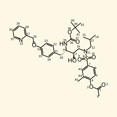 CC(=O)Oc1ccc(S(=O)(=O)N(CC(C)C)C[C@@H](O)[C@H](Cc2ccc(OCc3ccccn3)cc2)NC(=O)OC(C)(C)C)cc1C